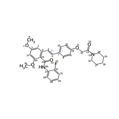 COc1cc(/C=C/c2ccc(OCC(=O)N3CCCCC3)cc2)c(C(=O)Nc2ccccc2F)c(OC)c1